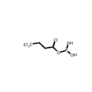 OP(O)OC(Cl)CCC(Cl)(Cl)Cl